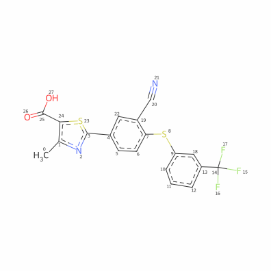 Cc1nc(-c2ccc(Sc3cccc(C(F)(F)F)c3)c(C#N)c2)sc1C(=O)O